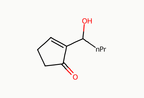 CCCC(O)C1=CCCC1=O